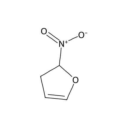 O=[N+]([O-])C1CC=CO1